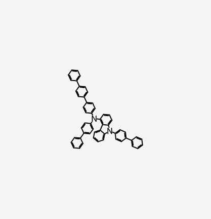 c1ccc(-c2ccc(-c3ccc(N(c4ccc(-c5ccccc5)cc4)c4cccc5c4c4ccccc4n5-c4ccc(-c5ccccc5)cc4)cc3)cc2)cc1